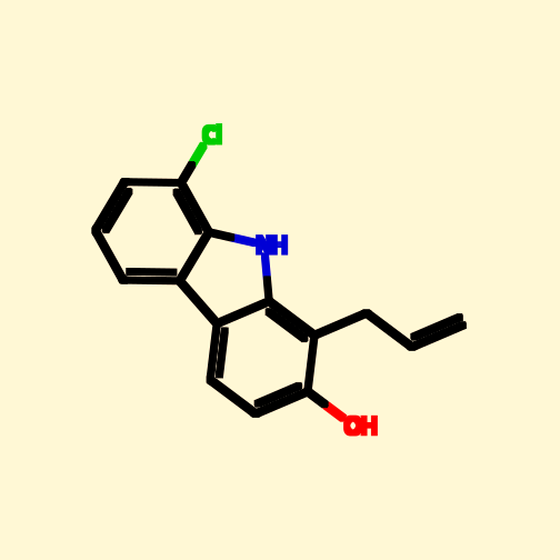 C=CCc1c(O)ccc2c1[nH]c1c(Cl)cccc12